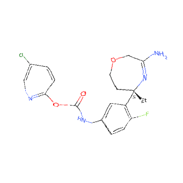 CC[C@@]1(c2cc(NC(=O)Oc3ccc(Cl)cn3)ccc2F)CCOCC(N)=N1